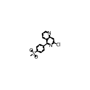 CS(=O)(=O)c1ccc(-c2nc(Cl)cc3ncccc23)cc1